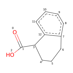 O=C(O)C1[CH]CCc2ccccc21